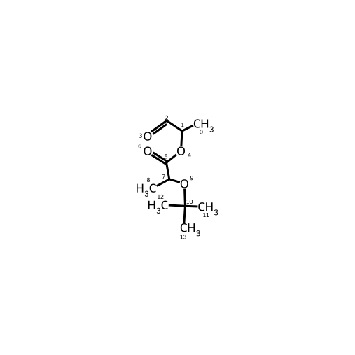 CC(C=O)OC(=O)C(C)OC(C)(C)C